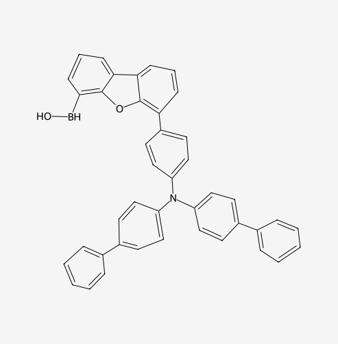 OBc1cccc2c1oc1c(-c3ccc(N(c4ccc(-c5ccccc5)cc4)c4ccc(-c5ccccc5)cc4)cc3)cccc12